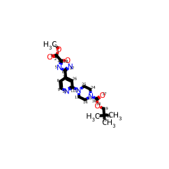 COC(=O)c1nc(-c2ccnc(N3CCN(C(=O)OCC(C)(C)C)CC3)c2)no1